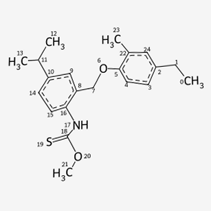 CCc1ccc(OCc2cc(C(C)C)ccc2NC(=S)OC)c(C)c1